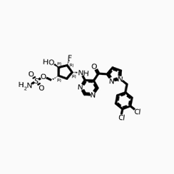 NS(=O)(=O)OC[C@H]1C[C@@H](Nc2ncncc2C(=O)c2ccn(Cc3ccc(Cl)c(Cl)c3)n2)[C@@H](F)[C@@H]1O